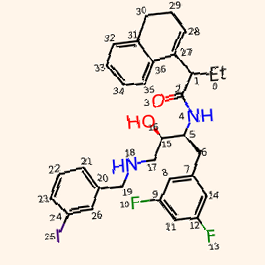 CCC(C(=O)N[C@@H](Cc1cc(F)cc(F)c1)[C@H](O)CNCc1cccc(I)c1)C1=CCCc2ccccc21